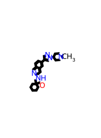 CN1CCC(n2cc(-c3ccc4cnc(NCC5(C=O)CCCCC5)cc4c3)cn2)CC1